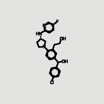 OCCc1cc(C(O)c2ccc(Cl)cc2)ccc1N1CC[C@H](Nc2ccc(F)cn2)C1